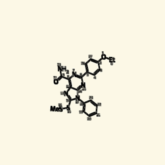 CCOc1ccc(-c2nc(C(N)=O)c3nc(SSC)n(-c4ccccc4)c3n2)cc1